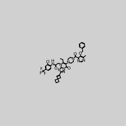 CCc1c(N2CCN(C(=O)c3ncnc(C)c3OCc3ccccc3)CC2)c(=O)n2nc(C3=CC4(CCC4)C3)nc2n1CC(=O)Nc1ccc(C(F)(F)F)cc1Cl